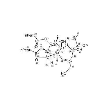 CCCCCC(=O)O[C@@H]1[C@@H](C)[C@]2(O)C3C=C(C)C(=O)[C@@]3(O)CC(CO)=C[C@H]2[C@H]2C(C)(C)[C@]12OC(=O)CCCCC